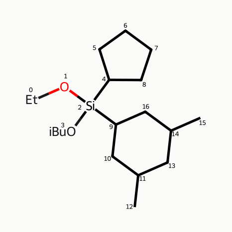 CCO[Si](OCC(C)C)(C1CCCC1)C1CC(C)CC(C)C1